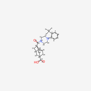 CC(C)(C)c1ccccc1N1CCN(C(=O)C23CC4CC(C(=O)O)(CC=C42)C3)CC1